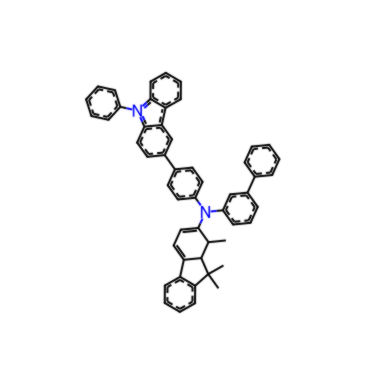 CC1C(N(c2ccc(-c3ccc4c(c3)c3ccccc3n4-c3ccccc3)cc2)c2cccc(-c3ccccc3)c2)=CC=C2c3ccccc3C(C)(C)C21